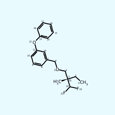 CC[C@@](C)(COCc1cccc(Oc2ccccc2)c1)C(F)F